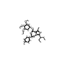 CCC(CC)c1nc(C)c2c(Oc3cc(OC)c(OC)c(OC)c3)nc(-c3ccc(C)cc3)nn12